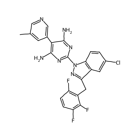 Cc1cncc(-c2c(N)nc(-n3nc(Cc4c(F)ccc(F)c4F)c4cc(Cl)ccc43)nc2N)c1